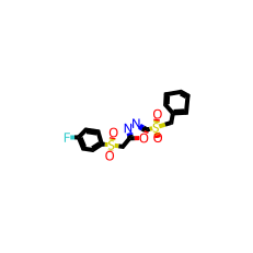 O=S(=O)(Cc1nnc(S(=O)(=O)Cc2ccccc2)o1)c1ccc(F)cc1